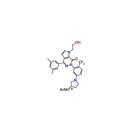 CC(=O)N[C@@H]1CCN(c2ccc(C(F)(F)F)c(-n3nc(-c4cc(C)cc(C)c4)c4ccn(CCO)c4c3=O)c2)C1